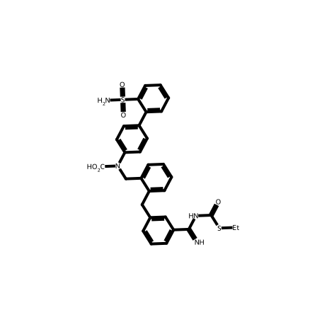 CCSC(=O)NC(=N)c1cccc(Cc2ccccc2CN(C(=O)O)c2ccc(-c3ccccc3S(N)(=O)=O)cc2)c1